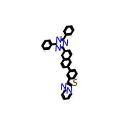 C1=CC(c2nc(-c3ccccc3)nc(-c3ccccc3)n2)Cc2ccc(-c3ccc4sc5c(nc6ccccn65)c4c3)cc21